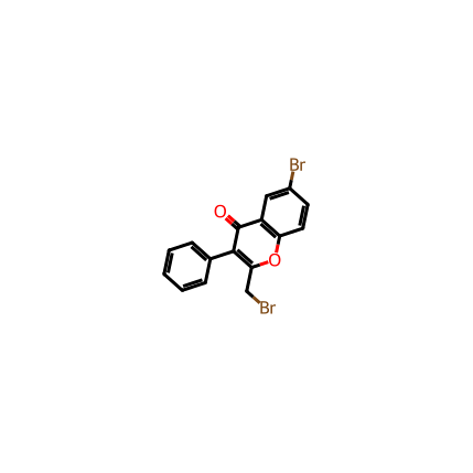 O=c1c(-c2ccccc2)c(CBr)oc2ccc(Br)cc12